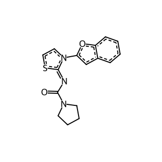 O=C(N=c1sccn1-c1cc2ccccc2o1)N1CCCC1